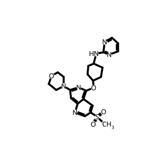 CS(=O)(=O)c1cnc2cc(N3CCOCC3)nc(OC3CCC(Nc4ncccn4)CC3)c2c1